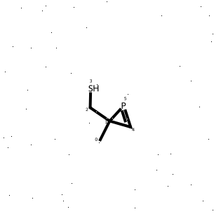 CC1(CS)C=P1